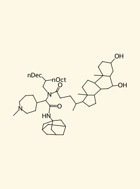 CCCCCCCCCCC(CCCCCCCC)CN(C(=O)CCC(C)C1CCC2C3CC(O)C4CC(O)CCC4(C)C3CCC12C)C(C(=O)NC12CC3CC(CC(C3)C1)C2)C1CCCN(C)CC1